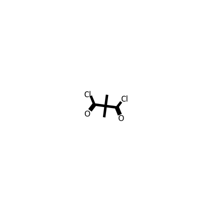 CC(C)(C(=O)Cl)C(=O)Cl